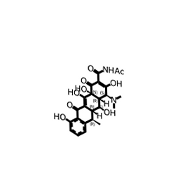 CC(=O)NC(=O)C1=C(O)[C@@H](N(C)C)[C@@H]2[C@@H](O)[C@H]3C(=C(O)[C@]2(O)C1=O)C(=O)c1c(O)cccc1[C@@H]3C